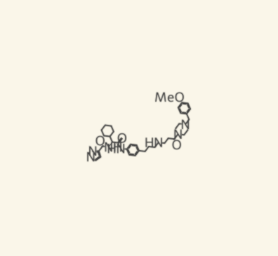 COc1ccc(CN2CCN(C(=O)CCNCCCc3ccc(NC(=O)[C@@H](NC(=O)c4ccnn4C)C4CCCCC4)cc3)CC2)cc1